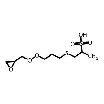 CC(CSCCCOOCC1CO1)S(=O)(=O)O